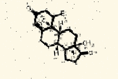 CCC1CC(=O)C=C2CC[C@@H]3[C@@H](CC[C@]4(C)C(=O)CC[C@@H]34)[C@]21C